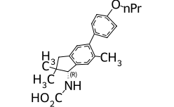 CCCOc1ccc(-c2cc3c(cc2C)[C@H](NC(=O)O)C(C)(C)C3)cc1